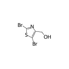 OCc1nc(Br)sc1Br